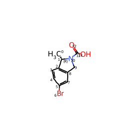 C[C@@H]1c2ccc(Br)cc2CN1C(=O)O